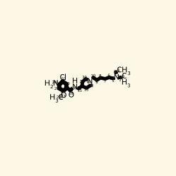 CCN(CC)CCCCCCN1CCC(CNC(=O)c2cc(Cl)c(N)cc2OC)CC1